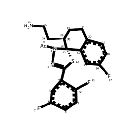 CC(=O)N1N=C(c2cc(F)ccc2F)S[C@]12c1cc(F)ccc1CC[C@@H]2CCN